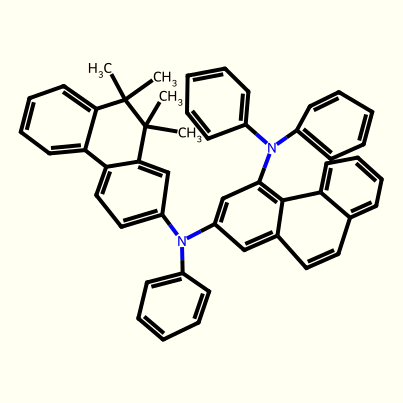 CC1(C)c2ccccc2-c2ccc(N(c3ccccc3)c3cc(N(c4ccccc4)c4ccccc4)c4c(ccc5ccccc54)c3)cc2C1(C)C